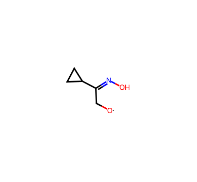 [O]CC(=NO)C1CC1